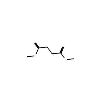 CSC(=O)CCC(=O)SC